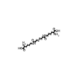 NC(CCCCNC(=O)CCSSCCC(=O)NCCCCC(N)C(=O)O)C(=O)O